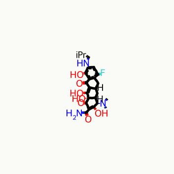 CC(C)CNc1cc(F)c2c(c1O)C(=O)C1=C(O)[C@]3(O)C(=O)C(C(N)=O)=C(O)[C@@H](N(C)C)[C@@H]3C[C@@H]1C2